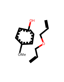 C=CCOCC=C.COc1ccc(O)cc1